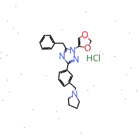 C1=C(n2nc(-c3cccc(CN4CCCC4)c3)nc2Cc2ccccc2)OCO1.Cl